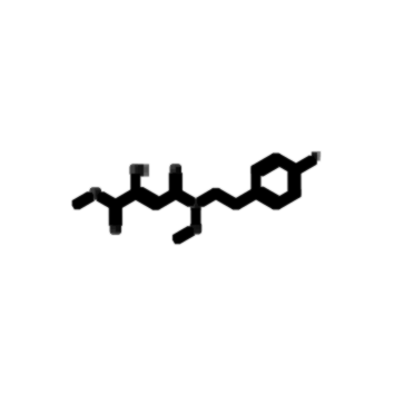 COC(=O)C(O)=CC(=O)N(CCc1ccc(F)cc1)OC